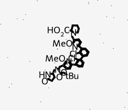 COc1nc(-c2cccc(-c3cccc(-c4ccc(CN5CCCCC5C(=O)O)c(OC)n4)c3Cl)c2Cl)ccc1CN(CC1CCC(=O)N1)C(=O)OC(C)(C)C